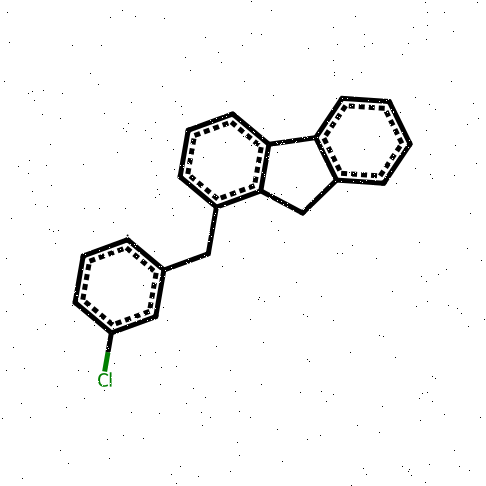 Clc1cc[c]c(Cc2cccc3c2Cc2ccccc2-3)c1